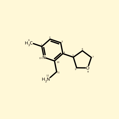 Cc1ccc(C2CCOC2)c(CN)n1